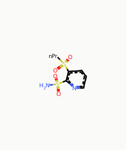 CCCS(=O)(=O)c1cccnc1S(N)(=O)=O